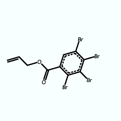 C=CCOC(=O)c1cc(Br)c(Br)c(Br)c1Br